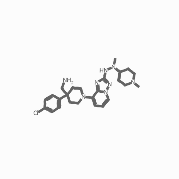 CN1CCC(N(C)Nc2nc3c(N4CCC(CN)(c5ccc(Cl)cc5)CC4)cccn3n2)CC1